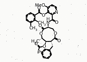 COc1ccnc(C(=O)N[C@H]2COC(=O)[C@H](Cc3ccccc3)[C@@H](OC(=O)C(C)C)[C@H](C)OC2=O)c1OC(=O)c1cccc(C)c1C